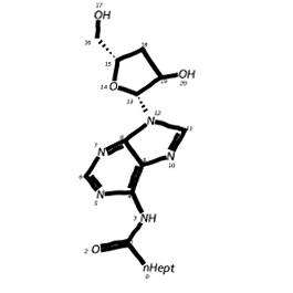 CCCCCCCC(=O)Nc1ncnc2c1ncn2[C@@H]1O[C@H](CO)CC1O